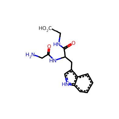 NCC(=O)NC(Cc1c[nH]c2ccccc12)C(=O)NCC(=O)O